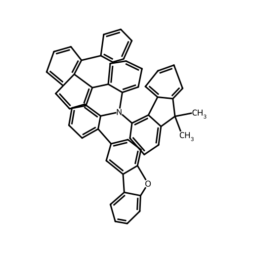 CC1(C)c2ccccc2-c2c(N(c3ccccc3-c3ccc4oc5ccccc5c4c3)c3ccccc3-c3cccc4cccc(-c5ccccc5)c34)cccc21